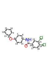 O=C(Nc1ccc(Oc2cc[c]cc2)cc1)c1ccc(Cl)c(Cl)c1